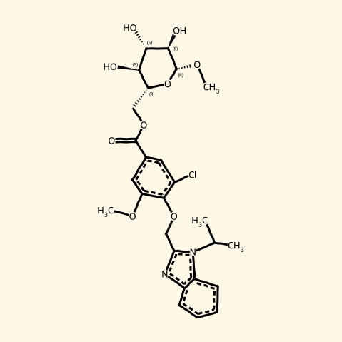 COc1cc(C(=O)OC[C@H]2O[C@@H](OC)[C@H](O)[C@@H](O)[C@@H]2O)cc(Cl)c1OCc1nc2ccccc2n1C(C)C